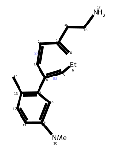 C=C(/C=C\C(=C/CC)c1cc(NC)ccc1C)CCN